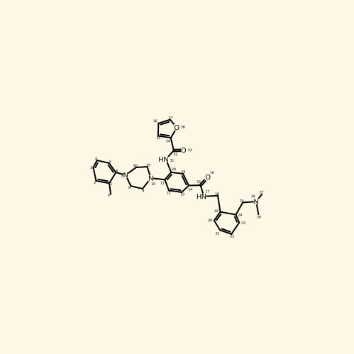 Cc1ccccc1N1CCN(c2ccc(C(=O)NCc3ccccc3CN(C)C)cc2NC(=O)c2ccco2)CC1